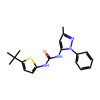 Cc1cc(NC(=O)Nc2ccc(C(C)(C)C)s2)n(-c2ccccc2)n1